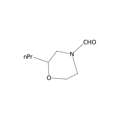 [CH2]CCC1CN(C=O)CCO1